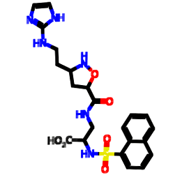 O=C(O)C(CNC(=O)C1CC(CCNc2ncc[nH]2)NO1)NS(=O)(=O)c1cccc2ccccc12